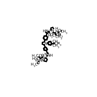 COC(=O)N[C@H](C(=O)N1CCC[C@H]1c1nc(-c2ccc(C3CCC(c4ccc(-c5c[nH]c([C@@H]6CCCN6C(=O)[C@@H](NC(=O)OC)C(C)(C)C)n5)cc4)N3c3ccc(C(C)(C)C)cc3)cc2)c[nH]1)C(C)(C)C